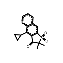 CC1(C)C(=O)c2c(cc3cccnc3c2C2CC2)S1(=O)=O